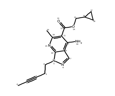 CC#CCCn1ncc2c(N)c(C(=O)OCC3CC3)c(C)nc21